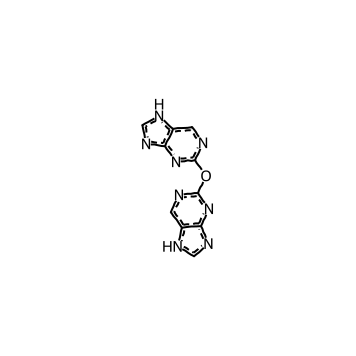 c1nc2nc(Oc3ncc4[nH]cnc4n3)ncc2[nH]1